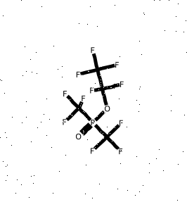 O=P(OC(F)(F)C(F)(F)F)(C(F)(F)F)C(F)(F)F